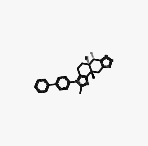 Cc1nc2c(n1-c1ccc(-c3ccccc3)cc1)CC[C@H]1[C@H](C)c3oncc3C[C@]21C